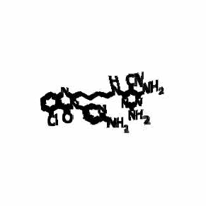 N#Cc1c(N)nc(N)nc1NCCCCc1nc2cccc(Cl)c2c(=O)n1-c1ccc(N)nc1